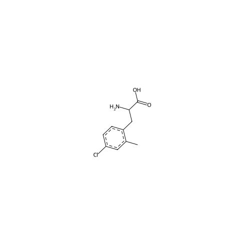 Cc1cc(Cl)ccc1CC(N)C(=O)O